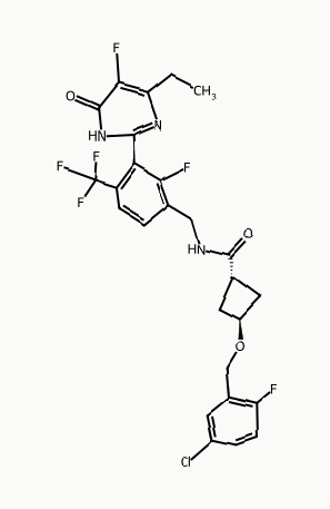 CCc1nc(-c2c(C(F)(F)F)ccc(CNC(=O)[C@H]3C[C@H](OCc4cc(Cl)ccc4F)C3)c2F)[nH]c(=O)c1F